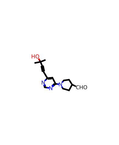 CC(C)(O)C#Cc1cc(N2CCC(C=O)CC2)ncn1